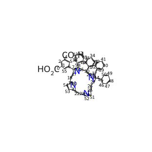 O=C(O)c1cc(C(=O)O)cc(C2=C(c3ccccc3)C3=NC2=CC2=NC(=CC4=NC(=CC5=NC(=C3c3ccccc3)C(c3ccccc3)=C5c3ccccc3)C=C4)C=C2)c1